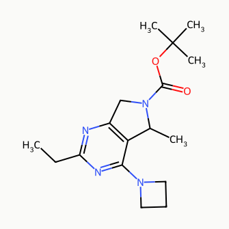 CCc1nc2c(c(N3CCC3)n1)C(C)N(C(=O)OC(C)(C)C)C2